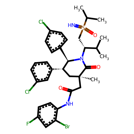 CC(C)[C@@H](CS(=N)(=O)C(C)C)N1C(=O)[C@@](C)(CC(=O)Nc2ccc(F)cc2Br)C[C@H](c2cccc(Cl)c2)[C@H]1c1ccc(Cl)cc1